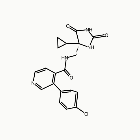 O=C1NC(=O)[C@](CNC(=O)c2ccncc2-c2ccc(Cl)cc2)(C2CC2)N1